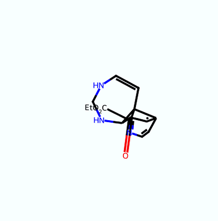 CCOC(=O)C1=NC=CC2=CC(=O)C3NCNC=CC213